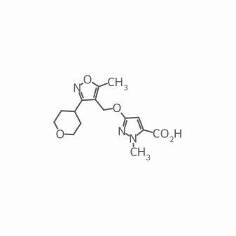 Cc1onc(C2CCOCC2)c1COc1cc(C(=O)O)n(C)n1